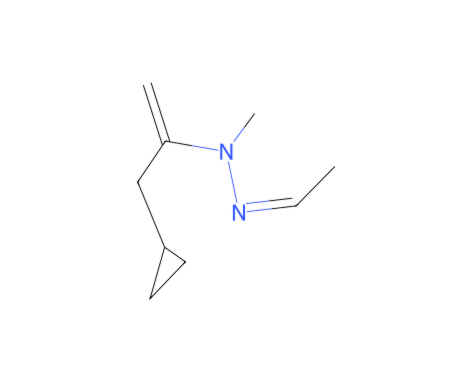 C=C(CC1CC1)N(C)/N=C\C